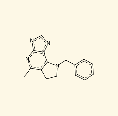 Cc1nc2ncnn2c2c1CCN2Cc1ccccc1